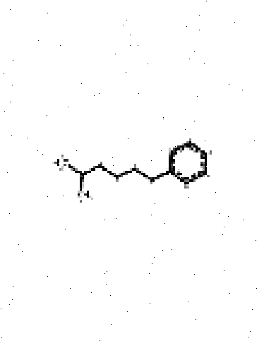 [CH2]C(C)CCCCc1ccccc1